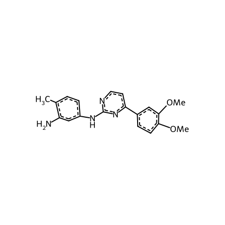 COc1ccc(-c2ccnc(Nc3ccc(C)c(N)c3)n2)cc1OC